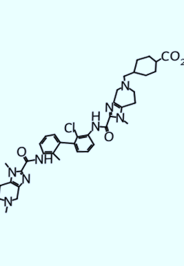 Cc1c(NC(=O)c2nc3c(n2C)CCN(C)C3)cccc1-c1cccc(NC(=O)c2nc3c(n2C)CCN(CC2CCC(C(=O)O)CC2)C3)c1Cl